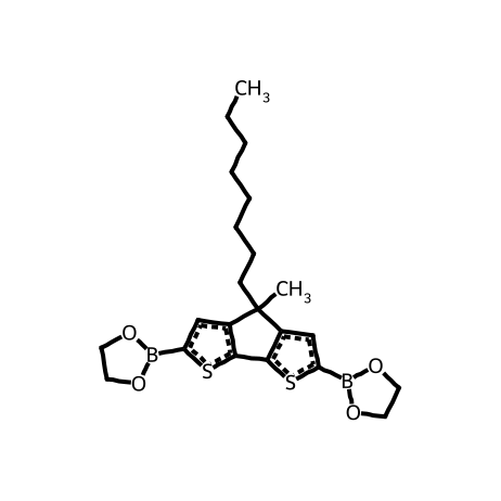 CCCCCCCCC1(C)c2cc(B3OCCO3)sc2-c2sc(B3OCCO3)cc21